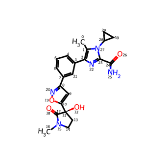 Cc1c(-c2cccc(-c3cc([C@]4(O)CCN(C)C4=O)on3)c2)nc(C(N)=O)n1C1CC1